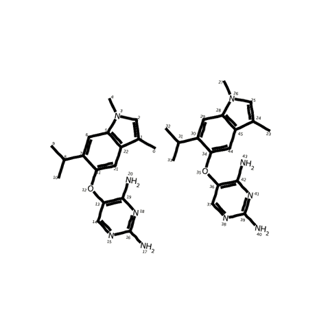 Cc1cn(C)c2cc(C(C)C)c(Oc3cnc(N)nc3N)cc12.Cc1cn(C)c2cc(C(C)C)c(Oc3cnc(N)nc3N)cc12